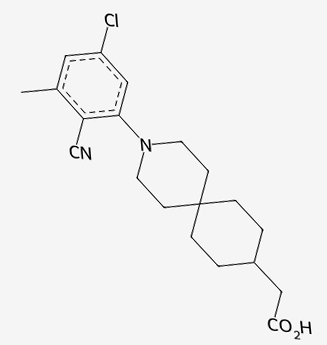 Cc1cc(Cl)cc(N2CCC3(CCC(CC(=O)O)CC3)CC2)c1C#N